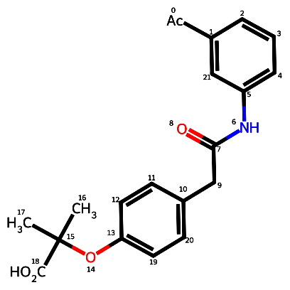 CC(=O)c1cccc(NC(=O)Cc2ccc(OC(C)(C)C(=O)O)cc2)c1